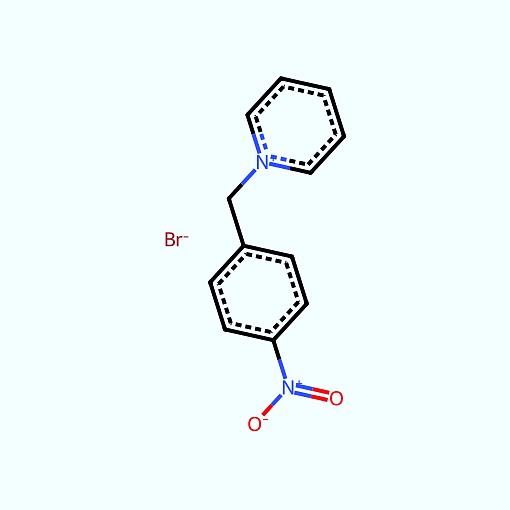 O=[N+]([O-])c1ccc(C[n+]2ccccc2)cc1.[Br-]